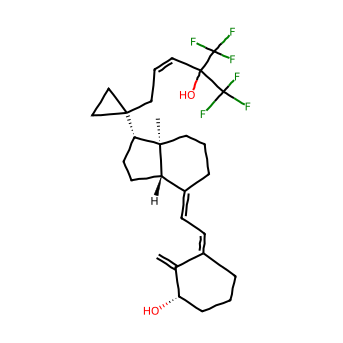 C=C1/C(=C\C=C2/CCC[C@]3(C)[C@@H](C4(C/C=C\C(O)(C(F)(F)F)C(F)(F)F)CC4)CC[C@@H]23)CCC[C@@H]1O